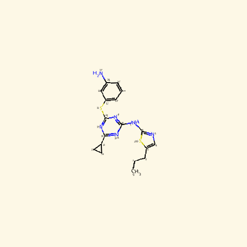 CCCc1cnc(Nc2nc(Sc3cccc(N)c3)nc(C3CC3)n2)s1